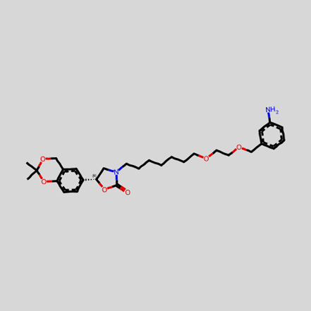 CC1(C)OCc2cc([C@@H]3CN(CCCCCCCOCCOCc4cccc(N)c4)C(=O)O3)ccc2O1